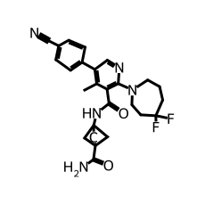 Cc1c(-c2ccc(C#N)cc2)cnc(N2CCCC(F)(F)CC2)c1C(=O)NC12CC(C(N)=O)(C1)C2